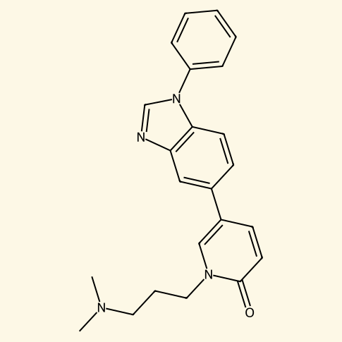 CN(C)CCCn1cc(-c2ccc3c(c2)ncn3-c2ccccc2)ccc1=O